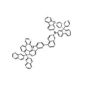 c1ccc(C2(c3ccccc3)c3ccccc3-c3ccc(N(c4ccc5c(-c6ccc7c(c6)c6ccc8c9c6n7-c6ccccc6-c6cccc(c6-9)C8(c6ccc7ccccc7c6)c6ccc7ccccc7c6)cccc5c4)c4ccc5c(c4)oc4ccccc45)cc32)cc1